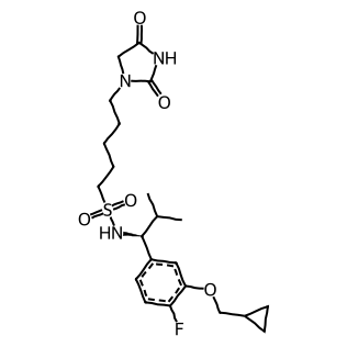 CC(C)[C@H](NS(=O)(=O)CCCCCN1CC(=O)NC1=O)c1ccc(F)c(OCC2CC2)c1